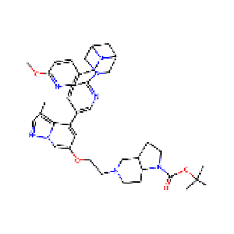 COc1ccc(CN2C3CC2CN(c2ccc(-c4cc(OCCN5CCC6C(CCN6C(=O)OC(C)(C)C)C5)cn5ncc(C)c45)cn2)C3)cn1